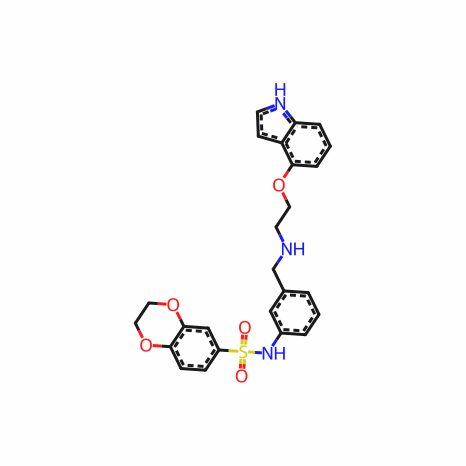 O=S(=O)(Nc1cccc(CNCCOc2cccc3[nH]ccc23)c1)c1ccc2c(c1)OCCO2